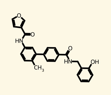 Cc1ccc(NC(=O)c2ccoc2)cc1-c1ccc(C(=O)NCc2ccccc2O)cc1